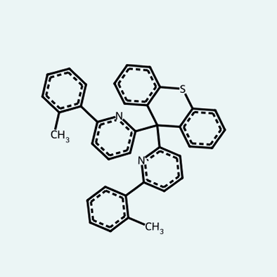 Cc1ccccc1-c1cccc(C2(c3cccc(-c4ccccc4C)n3)c3ccccc3Sc3ccccc32)n1